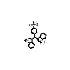 CS(=O)(=O)c1ccc(C(c2c[nH]c3ccccc23)c2c[nH]c3ccccc23)cc1